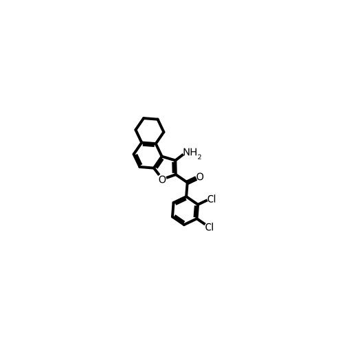 Nc1c(C(=O)c2cccc(Cl)c2Cl)oc2ccc3c(c12)CCCC3